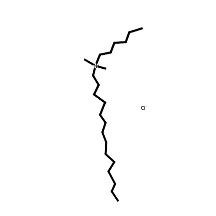 CCCCCCCCCCCCCC[N+](C)(C)CCCCCC.[Cl-]